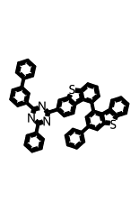 c1ccc(-c2cccc(-c3nc(-c4ccccc4)nc(-c4ccc5c(c4)sc4cccc(-c6cc(-c7ccccc7)cc7sc8ccccc8c67)c45)n3)c2)cc1